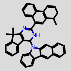 CC1CC=Cc2c1cc(C1=NC3=C(c4ccccc4C3(C)C)C(n3c4ccccc4c4cc5ccccc5cc43)N1)c1ccccc21